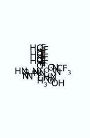 C[C@H](CO)NCc1cc(O[C@H]2CC[C@@H](N3CC(CC#N)(n4cc(-c5ncnc6[nH]ccc56)cn4)C3)CC2)nc(C(F)(F)F)n1.O=C(O)C(F)(F)F.O=C(O)C(F)(F)F.O=C(O)C(F)(F)F